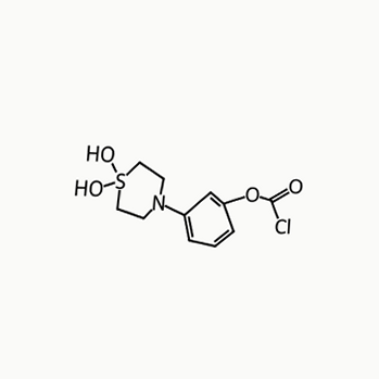 O=C(Cl)Oc1cccc(N2CCS(O)(O)CC2)c1